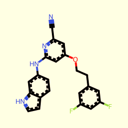 N#Cc1cc(OCCc2cc(F)cc(F)c2)cc(Nc2ccc3cc[nH]c3c2)n1